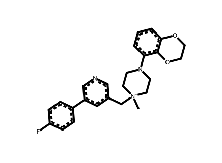 C[N+]1(Cc2cncc(-c3ccc(F)cc3)c2)CCN(c2cccc3c2OCCO3)CC1